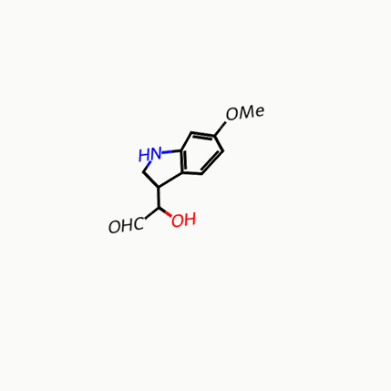 COc1ccc2c(c1)NCC2C(O)C=O